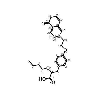 CCCCOC(Cc1ccc(OCCN2C=C3C=CCC(=O)C3=CN2)cc1)C(=O)O